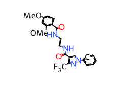 COc1ccc(C(=O)NCCNC(=O)c2cn(-c3ccccc3)nc2C(F)(F)F)c(OC)c1